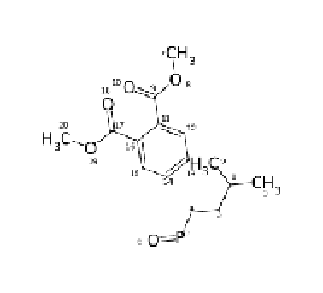 CC(C)CCP=O.COC(=O)c1ccccc1C(=O)OC